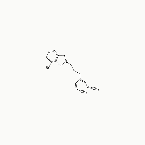 C=C/C=C(\C=C/C)CCCN1Cc2cccc(Br)c2C1